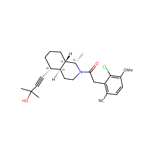 COc1ccc(C#N)c(CC(=O)N2CC[C@@H]3[C@H](CCC[C@H]3C#CC(C)(C)O)[C@@H]2C)c1Cl